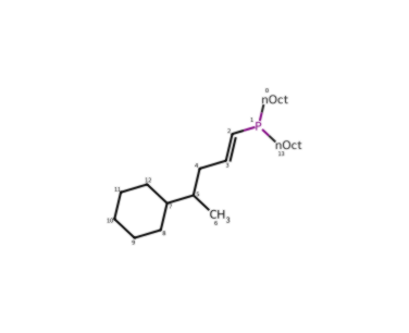 CCCCCCCCP(C=CCC(C)C1CCCCC1)CCCCCCCC